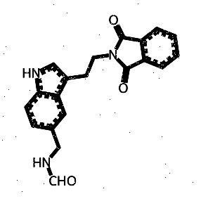 O=CNCc1ccc2[nH]cc(CCN3C(=O)c4ccccc4C3=O)c2c1